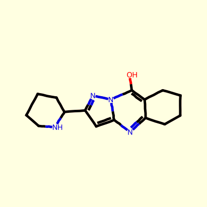 Oc1c2c(nc3cc(C4CCCCN4)nn13)CCCC2